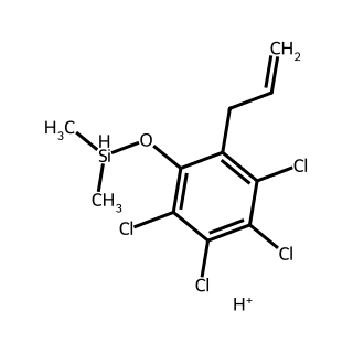 C=CCc1c(Cl)c(Cl)c(Cl)c(Cl)c1O[SiH](C)C.[H+]